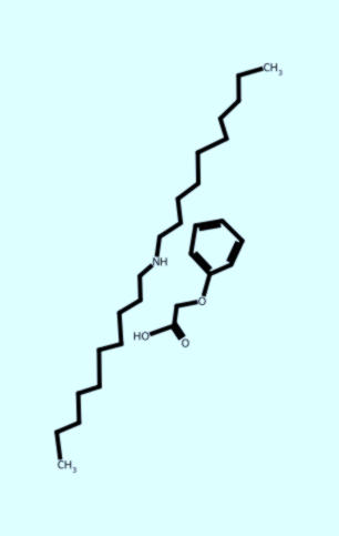 CCCCCCCCCCNCCCCCCCCCC.O=C(O)COc1ccccc1